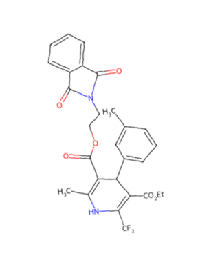 CCOC(=O)C1=C(C(F)(F)F)NC(C)=C(C(=O)OCCN2C(=O)c3ccccc3C2=O)C1c1cccc(C)c1